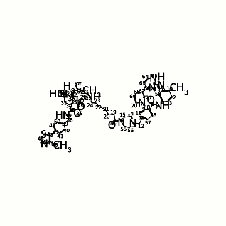 Cc1ccc(NC(=O)c2ccc(CN3CCN(C(=O)CCCCCCNC(C(=O)N4CC(O)CC4C(=O)NCc4ccc(-c5scnc5C)cc4)C(C)(C)C)CC3)cc2)cc1Nc1nccc(-c2cccnc2)n1